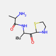 CCC(C)C(NC(=O)C(C)N)C(=O)C1NCCS1